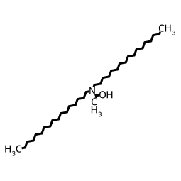 CCCCCCCCCCCCCCCCCN(CCCCCCCCCCCCCCCCC)C(C)O